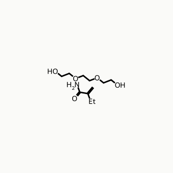 C=C(CC)C(N)=O.OCCOCCOCCO